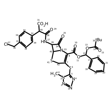 Cn1nnnc1SC1=C(C(=O)OC(OC(=O)C(C)(C)C)c2ccccc2)N2C(=O)C(NC(=O)C(C(=O)O)c3ccc(CCl)cc3)C2SC1